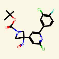 CC(C)(C)OC(=O)N1CC(N=O)(c2cc(Cl)nc(-c3ccc(F)c(Cl)c3)c2)C1